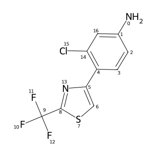 Nc1ccc(-c2csc(C(F)(F)F)n2)c(Cl)c1